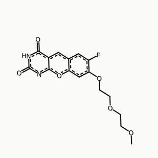 COCCOCCOc1cc2oc3nc(=O)[nH]c(=O)c-3cc2cc1F